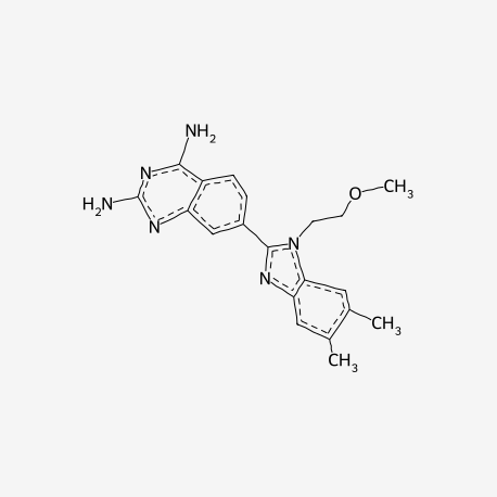 COCCn1c(-c2ccc3c(N)nc(N)nc3c2)nc2cc(C)c(C)cc21